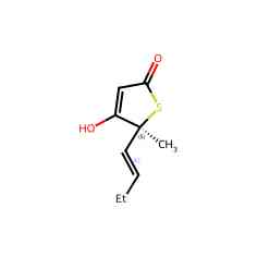 CC/C=C/[C@]1(C)SC(=O)C=C1O